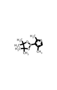 Cc1csc(C)c1B1OC(C)(C)C(C)(C)O1